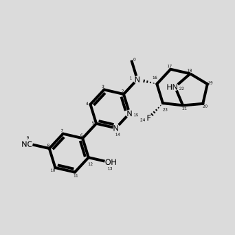 CN(c1ccc(-c2cc(C#N)ccc2O)nn1)[C@@H]1CC2CCC(N2)[C@@H]1F